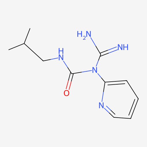 CC(C)CNC(=O)N(C(=N)N)c1ccccn1